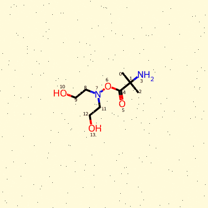 CC(C)(N)C(=O)ON(CCO)CCO